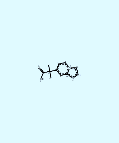 CC(C)(C(=O)O)c1ccn2cnnc2c1